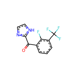 O=C(c1ncc[nH]1)c1cccc(C(F)(F)F)c1F